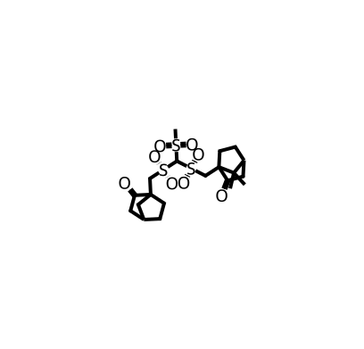 CC1(C)C2CCC1(CS(=O)(=O)C(S(C)(=O)=O)S(=O)(=O)CC13CCC(CC1=O)C3)C(=O)C2